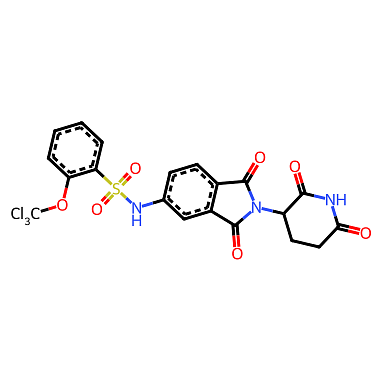 O=C1CCC(N2C(=O)c3ccc(NS(=O)(=O)c4ccccc4OC(Cl)(Cl)Cl)cc3C2=O)C(=O)N1